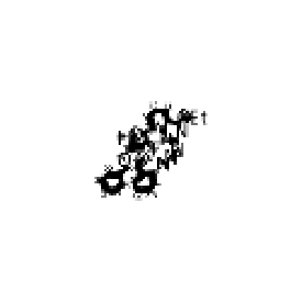 CCOC1=NC(N=[N+]=[N-])=NN2C1=CCC=C2[C@@H]1O[C@@H]2C(OCc3ccccc3)C2(OCc2ccccc2)[C@H]1F